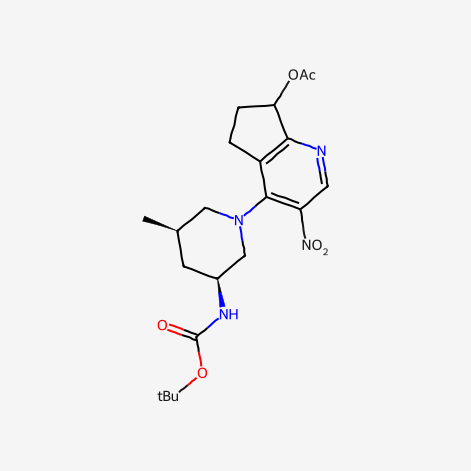 CC(=O)OC1CCc2c1ncc([N+](=O)[O-])c2N1C[C@H](C)C[C@H](NC(=O)OC(C)(C)C)C1